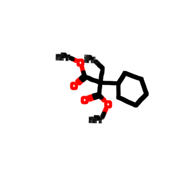 CCCOC(=O)C(CC(C)C)(C(=O)OCCC)C1CCCCC1